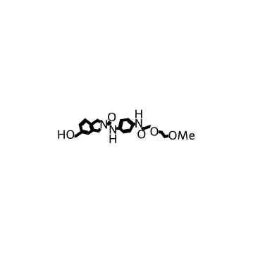 COCCOCC(=O)Nc1ccc(NC(=O)N2Cc3ccc(CO)cc3C2)cc1